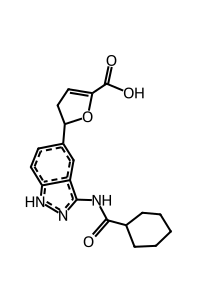 O=C(O)C1=CCC(c2ccc3[nH]nc(NC(=O)C4CCCCC4)c3c2)O1